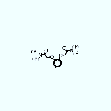 CCCN(CCC)C(=O)COc1ccccc1OCC(=O)N(CCC)CCC